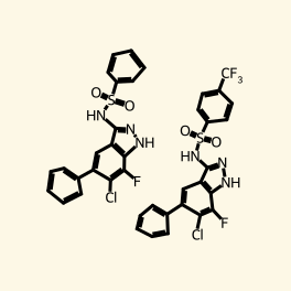 O=S(=O)(Nc1n[nH]c2c(F)c(Cl)c(-c3ccccc3)cc12)c1ccc(C(F)(F)F)cc1.O=S(=O)(Nc1n[nH]c2c(F)c(Cl)c(-c3ccccc3)cc12)c1ccccc1